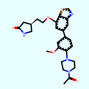 COc1cc(-c2cc(OCC[C@H]3CNC(=O)C3)c3scnc3c2)ccc1N1CCN(C(C)=O)CC1